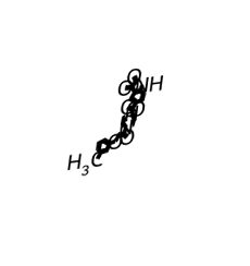 Cc1cccc(OCC(=O)N2CCN(S(=O)(=O)c3ccc4c(c3)C(=O)C(=O)N4)CC2)c1